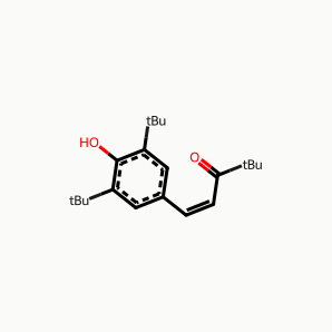 CC(C)(C)C(=O)/C=C\c1cc(C(C)(C)C)c(O)c(C(C)(C)C)c1